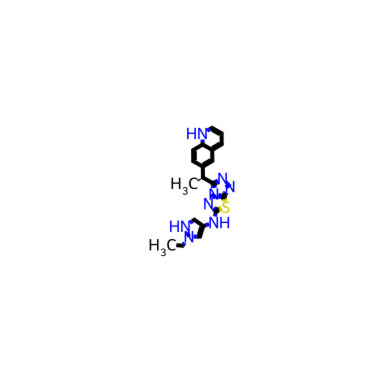 CCN1C=C(Nc2nn3c([C@H](C)C4=CC5=CC=CNC5C=C4)nnc3s2)CN1